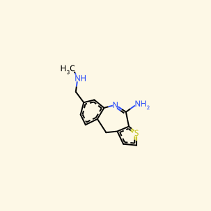 CNCc1ccc2c(c1)N=C(N)c1sccc1C2